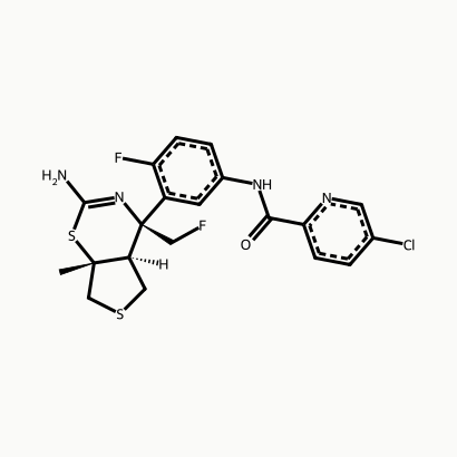 C[C@]12CSC[C@@H]1[C@@](CF)(c1cc(NC(=O)c3ccc(Cl)cn3)ccc1F)N=C(N)S2